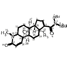 CCCCN(CCCC)C(=O)C1CC[C@H]2[C@@H]3CCC4N(C)C(=O)C=C[C@]4(C)[C@@H]3CC[C@]12C